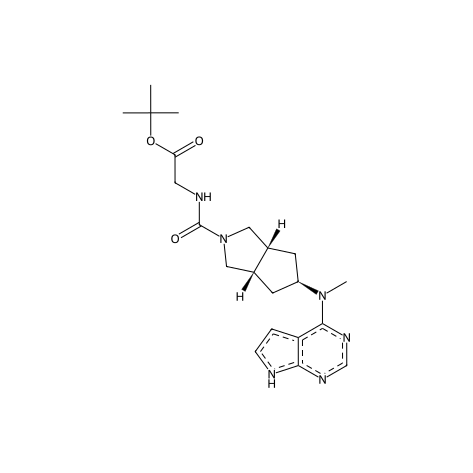 CN(c1ncnc2[nH]ccc12)[C@H]1C[C@@H]2CN(C(=O)NCC(=O)OC(C)(C)C)C[C@@H]2C1